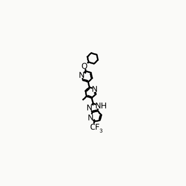 Cc1cc(-c2ccc(OC3CCCCC3)nc2)ncc1-c1nc2nc(C(F)(F)F)ccc2[nH]1